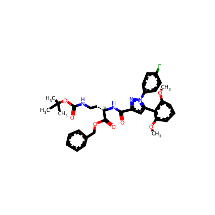 COc1cccc(OC)c1-c1cc(C(=O)N[C@@H](CCNC(=O)OC(C)(C)C)C(=O)OCc2ccccc2)nn1-c1ccc(F)cc1